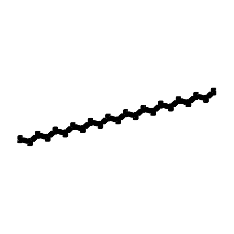 S=S=S=S=S=S=S=S=S=S=S=S=S=S=S=S=S=S=S=S=S=S=S